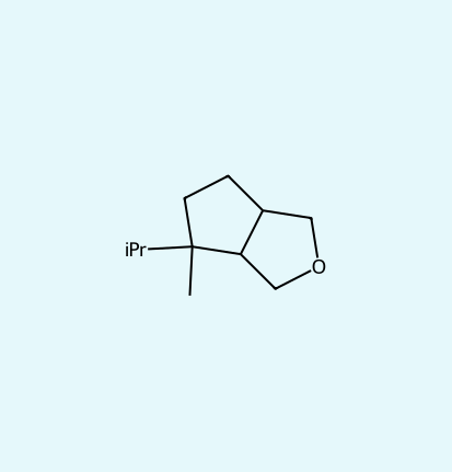 CC(C)C1(C)CCC2COCC21